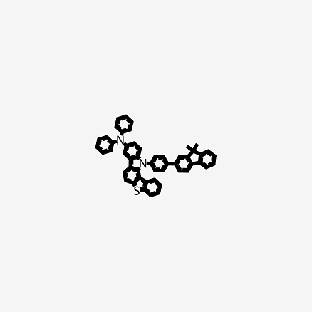 CC1(C)c2ccccc2-c2ccc(-c3ccc(-n4c5ccc(N(c6ccccc6)c6ccccc6)cc5c5ccc6sc7ccccc7c6c54)cc3)cc21